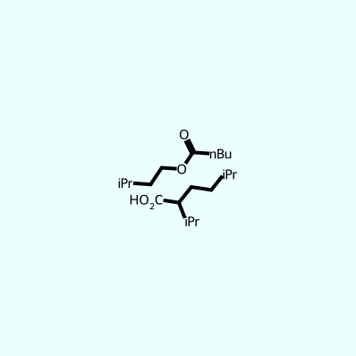 CC(C)CCC(C(=O)O)C(C)C.CCCCC(=O)OCCC(C)C